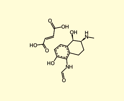 CN[C@H]1CCc2c(ccc(O)c2NC=O)[C@H]1O.O=C(O)/C=C/C(=O)O